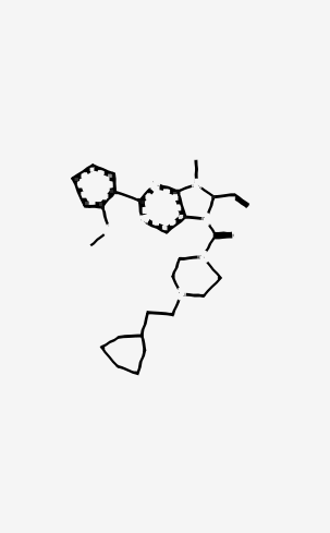 COc1ccccc1-c1ncc2c(n1)N(C)C(C=O)N2C(=O)N1CCN(CCC2CCCCC2)CC1